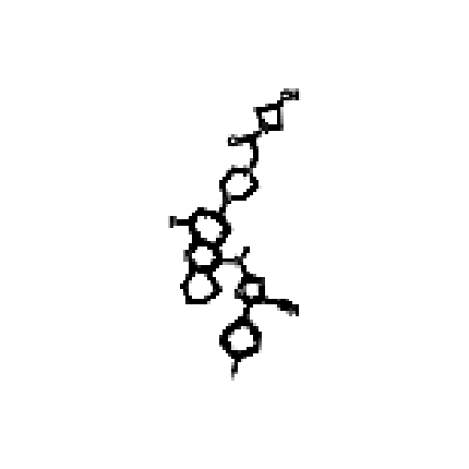 CN(c1nc(-c2ccc(F)cc2)c(C#N)s1)c1c2c(nc3c(F)cc(N4CCN(CC(=O)N5CC(O)C5)CC4)cc13)CCCC2